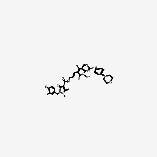 Cc1c(C=CCNC(=O)c2c(C)n(C)n(Cc3ccc(F)c(F)c3)c2=O)c(=O)n(C(C)C)c2nc(Nc3ccc(N4CCOCC4)cc3)ncc12